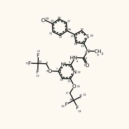 CN(C(=O)Nc1nc(OCC(F)(F)F)cc(OCC(F)(F)F)n1)c1cc(-c2ccc(Cl)cc2)cs1